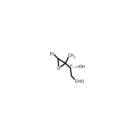 CCC1OC1(C)[C@H](O)CC=O